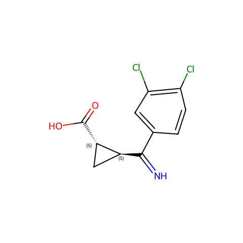 N=C(c1ccc(Cl)c(Cl)c1)[C@H]1C[C@@H]1C(=O)O